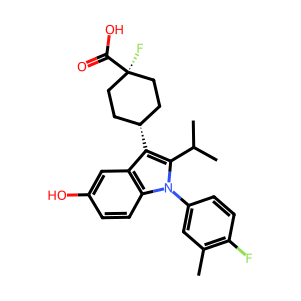 Cc1cc(-n2c(C(C)C)c([C@H]3CC[C@](F)(C(=O)O)CC3)c3cc(O)ccc32)ccc1F